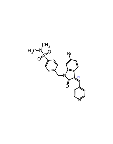 CN(C)S(=O)(=O)c1ccc(CN2C(=O)/C(=C\c3ccncc3)c3ccc(Br)cc32)cc1